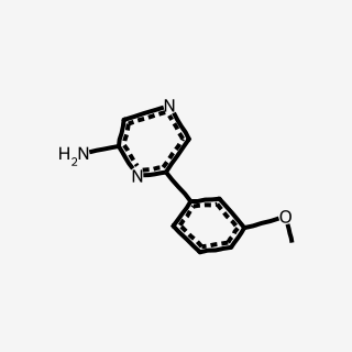 COc1cccc(-c2cncc(N)n2)c1